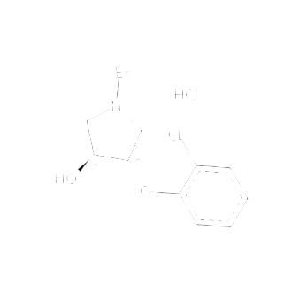 CCN1C[C@H](Oc2ccccc2Cl)[C@@H](O)C1.Cl